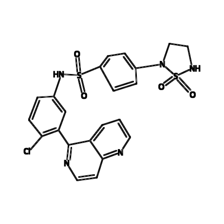 O=S(=O)(Nc1ccc(Cl)c(-c2nccc3ncccc23)c1)c1ccc(N2CCNS2(=O)=O)cc1